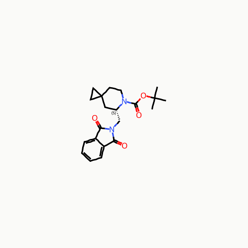 CC(C)(C)OC(=O)N1CCC2(CC2)C[C@H]1CN1C(=O)c2ccccc2C1=O